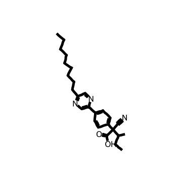 CCCCCCCCCc1cnc(-c2ccc(C(C#N)(C(=O)O)C(C)CC)cc2)cn1